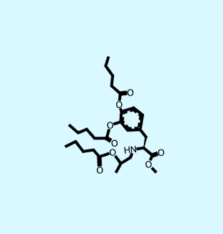 CCCCC(=O)Oc1ccc(C[C@H](NCC(C)OC(=O)CCCC)C(=O)OC)cc1OC(=O)CCCC